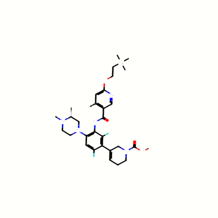 C[C@H]1CN(c2cc(F)c(C3=CCCN(C(=O)OC(C)(C)C)C3)c(F)c2NC(=O)c2cnc(OCC[Si](C)(C)C)cc2C(F)(F)F)CCN1C